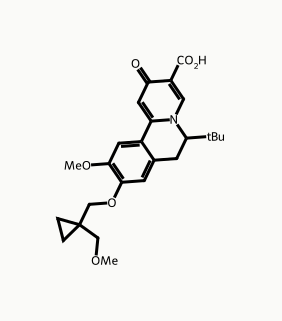 COCC1(COc2cc3c(cc2OC)-c2cc(=O)c(C(=O)O)cn2C(C(C)(C)C)C3)CC1